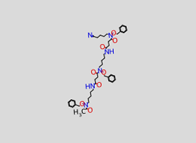 CC(=O)N(CCCCCNC(=O)CCC(=O)N(CCCCCNC(=O)CCC(=O)N(CCCCC#N)OCc1ccccc1)OCc1ccccc1)OCc1ccccc1